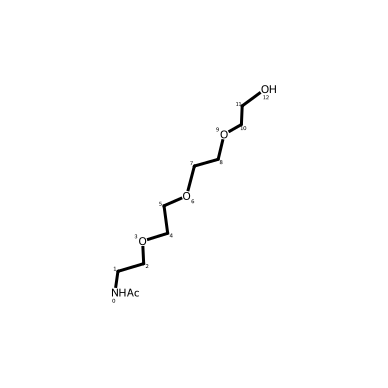 CC(=O)NCCOCCOCCOCCO